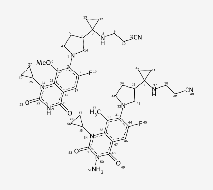 COc1c(N2CCC(C3(NCCC#N)CC3)C2)c(F)cc2c(=O)[nH]c(=O)n(C3CC3)c12.Cc1c(N2CCC(C3(NCCC#N)CC3)C2)c(F)cc2c(=O)n(N)c(=O)n(C3CC3)c12